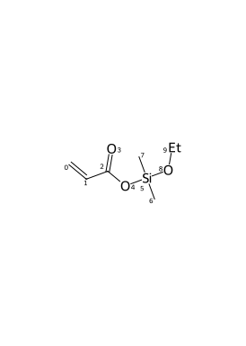 C=CC(=O)O[Si](C)(C)OCC